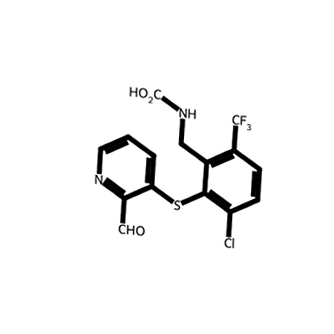 O=Cc1ncccc1Sc1c(Cl)ccc(C(F)(F)F)c1CNC(=O)O